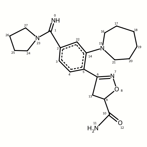 N=C(c1ccc(C2=NOC(C(N)=O)C2)c(N2CCCCCC2)c1)N1CCCC1